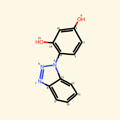 Oc1ccc(-n2nnc3ccccc32)c(O)c1